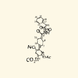 CCOC(=O)c1cc(C#N)c(N2CCC(C(=O)NS(=O)(=O)Cc3ccccc3)CC2)nc1OC(C)=O